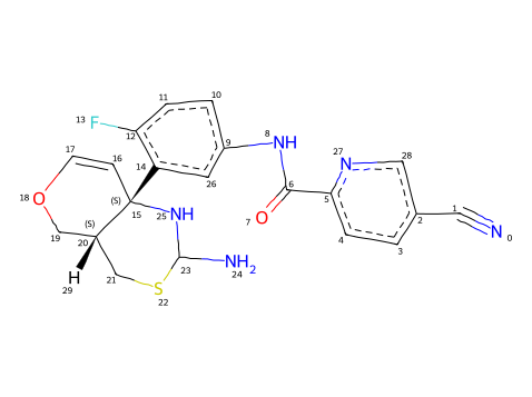 N#Cc1ccc(C(=O)Nc2ccc(F)c([C@]34C=COC[C@H]3CSC(N)N4)c2)nc1